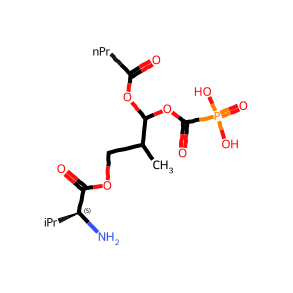 CCCC(=O)OC(OC(=O)P(=O)(O)O)C(C)COC(=O)[C@@H](N)C(C)C